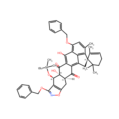 CC1=CCCC(C)(C)[C@@]12Cc1c3c(c(O)c4c(OCc5ccccc5)cc(C)c2c14)C(=O)[C@@]1(O)[C@H](Cc2onc(OCc4ccccc4)c2[C@H]1O[Si](C)(C)C(C)(C)C)C3=O